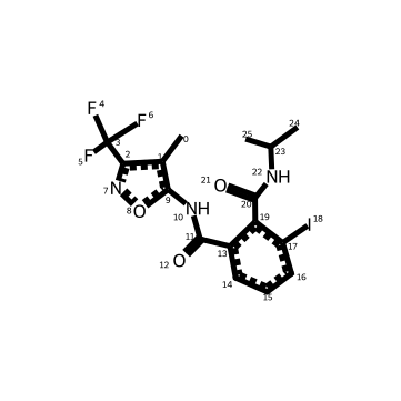 Cc1c(C(F)(F)F)noc1NC(=O)c1cccc(I)c1C(=O)NC(C)C